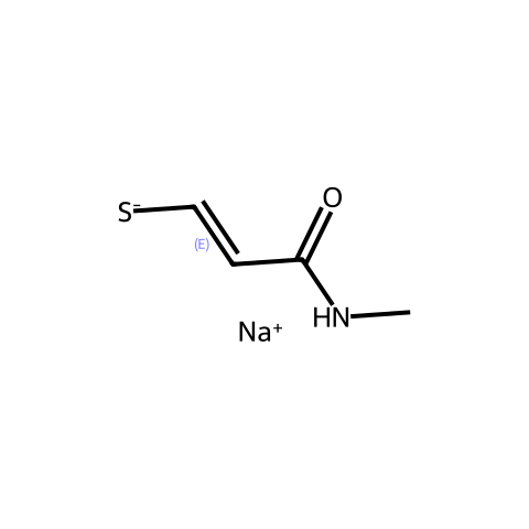 CNC(=O)/C=C/[S-].[Na+]